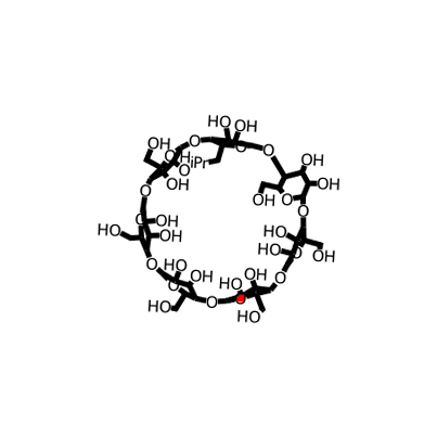 CC(C)CC1OC2OC3C(CO)OC(OC4C(CO)OC(OC5C(CO)OC(OC6C(CO)OC(OC7C(CO)OC(OC8C(CO)OC(OC1C(O)C2O)C(O)C8O)C(O)C7O)C(O)C6O)C(O)C5O)C(O)C4O)C(O)C3O